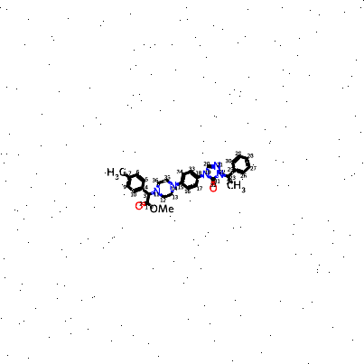 COC(=O)C(c1ccc(C)cc1)N1CCN(c2ccc(-n3cnn(C(C)c4ccccc4)c3=O)cc2)CC1